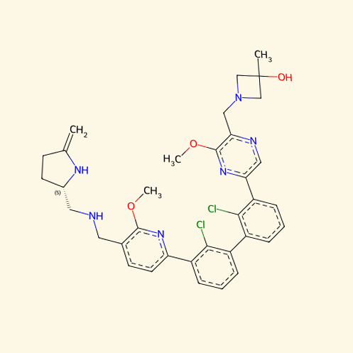 C=C1CC[C@@H](CNCc2ccc(-c3cccc(-c4cccc(-c5cnc(CN6CC(C)(O)C6)c(OC)n5)c4Cl)c3Cl)nc2OC)N1